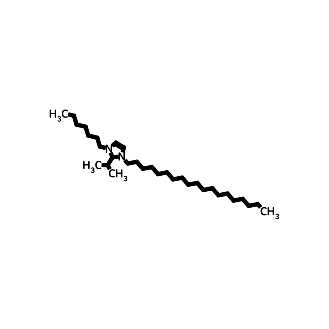 CCCCCCCCCCCCCCCCCCCN1C=CN(CCCCCCC)C1C(C)C